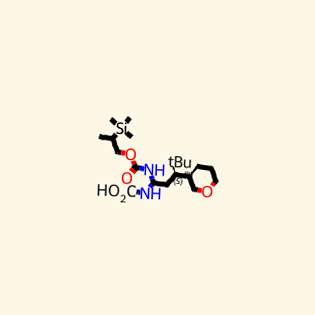 CC(COC(=O)NC(C[C@@H]([C@H]1CCCOC1)C(C)(C)C)NC(=O)O)[Si](C)(C)C